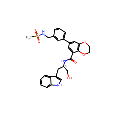 CS(=O)(=O)NCc1cccc(-c2cc3c(c(C(=O)N[C@@H](CO)Cc4c[nH]c5ccccc45)c2)OCCO3)c1